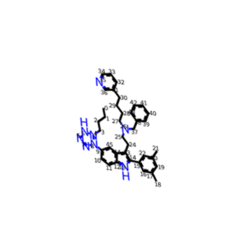 CCCCN1NN=NN1c1ccc2[nH]c(-c3cc(C)cc(C)c3)c(CCN(CCCCc3cccnc3)Cc3ccccc3)c2c1